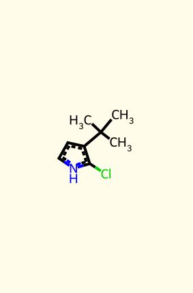 CC(C)(C)c1cc[nH]c1Cl